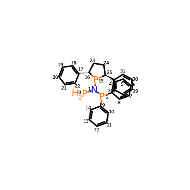 PN(P(c1ccccc1)c1ccccc1)P1[C@H](c2ccccc2)CC[C@H]1c1ccccc1